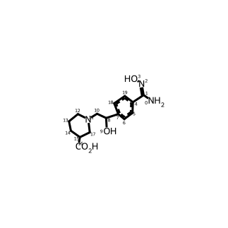 N/C(=N/O)c1ccc(C(O)CN2CCCC(C(=O)O)C2)cc1